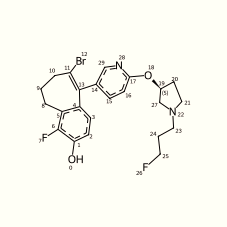 Oc1ccc2c(c1F)CCCC(Br)=C2c1ccc(O[C@H]2CCN(CCCF)C2)nc1